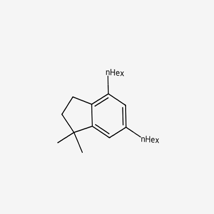 CCCCCCc1cc(CCCCCC)c2c(c1)C(C)(C)CC2